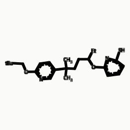 CCC(CCC(C)(C)c1ccc(OCC(C)(C)C)nc1)Oc1cccc(S)n1